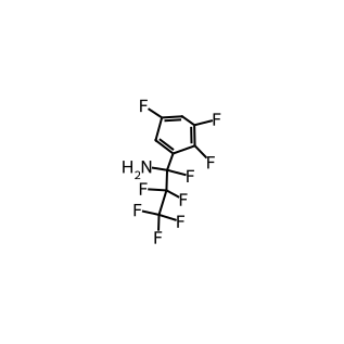 NC(F)(c1cc(F)cc(F)c1F)C(F)(F)C(F)(F)F